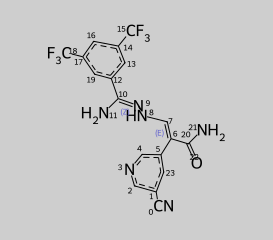 N#Cc1cncc(/C(=C\N/N=C(\N)c2cc(C(F)(F)F)cc(C(F)(F)F)c2)C(N)=O)c1